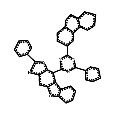 c1ccc(-c2nc(-c3ccc4ccc5ccccc5c4c3)nc(-c3c4sc(-c5ccccc5)nc4cc4oc5ccccc5c34)n2)cc1